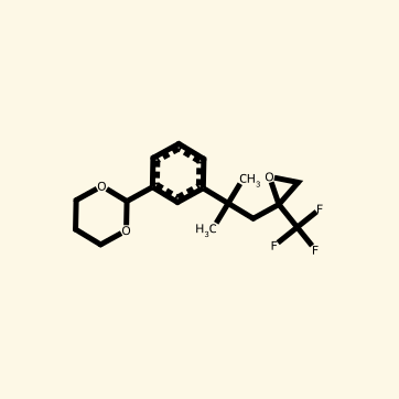 CC(C)(CC1(C(F)(F)F)CO1)c1cccc(C2OCCCO2)c1